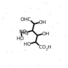 O=CC(O)C(O)C(O)C(O)C(=O)O.O=[N+]([O-])O